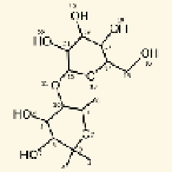 CC1OC(C)(C)C(O)C(O)C1OC1OC(CO)C(O)C(O)C1O